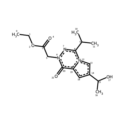 CCOC(=O)Cn1nc(C(C)C)n2cc(C(C)O)cc2c1=O